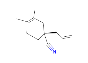 C=CC[C@@]1(C#N)CCC(C)=C(C)C1